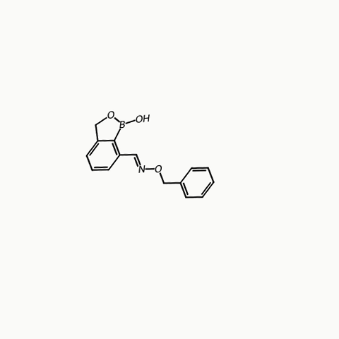 OB1OCc2cccc(/C=N/OCc3ccccc3)c21